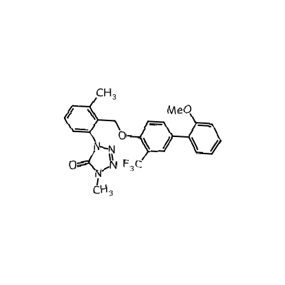 COc1ccccc1-c1ccc(OCc2c(C)cccc2-n2nnn(C)c2=O)c(C(F)(F)F)c1